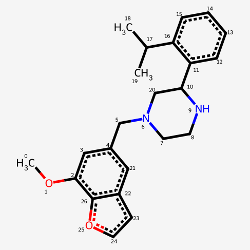 COc1cc(CN2CCNC(c3ccccc3C(C)C)C2)cc2ccoc12